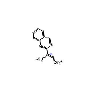 O=C(O)/C=C(\C(=O)O)c1ncc2ccccc2n1